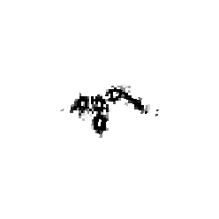 CCC1(CCCCN)CCN(c2cnc(Sc3cccc(Cl)c3Cl)c(-c3ccccc3)n2)CC1